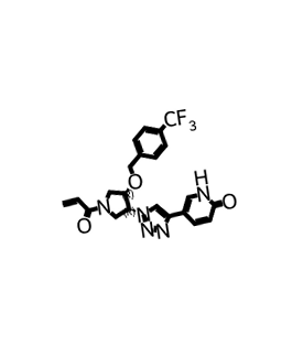 C=CC(=O)N1C[C@@H](n2cc(-c3ccc(=O)[nH]c3)nn2)[C@H](OCc2ccc(C(F)(F)F)cc2)C1